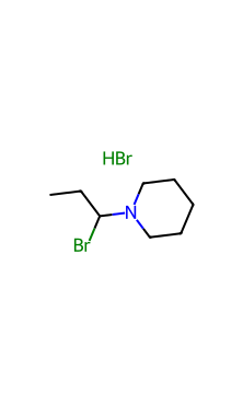 Br.CCC(Br)N1CCCCC1